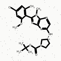 COc1cc(Cl)cc(C)c1-c1nc2nc(N[C@@H]3CCN(C(=O)OC(C)(C)C)C3)cnc2n1C